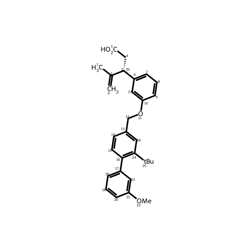 C=C(C)[C@H](CC(=O)O)c1cccc(OCc2ccc(-c3cccc(OC)c3)c(C(C)(C)C)c2)c1